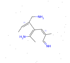 C/C=C(/CN)C(/C=C(/C)C=N)=C(C)N